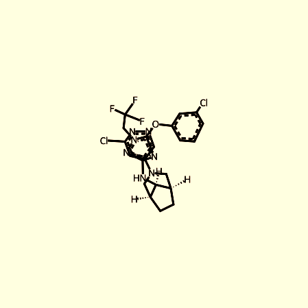 FC(F)(F)Cn1nc(N[C@H]2[C@@H]3CC[C@H]2CN(c2cnnc(Cl)c2)C3)nc1Oc1cccc(Cl)c1